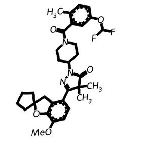 COc1ccc(C2=NN(C3CCN(C(=O)c4cc(OC(F)F)ccc4C)CC3)C(=O)C2(C)C)c2c1OC1(CCCC1)C2